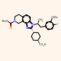 COC(=O)N1CCc2ccc3c(nc([C@H]4CC[C@H](C(=O)O)CC4)n3[C@@H](C)Cc3ccc(F)c(OC)c3)c2C1